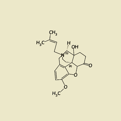 COc1ccc2c3c1OC1C(=O)CCC4(O)[C@H](C2)N(CC=C(C)C)CC[C@@]314